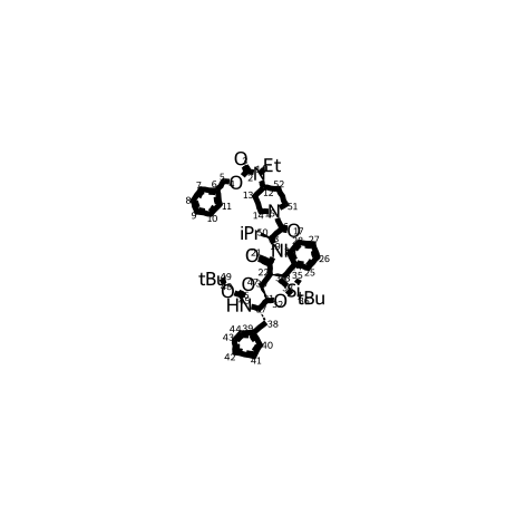 CCN(C(=O)OCc1ccccc1)C1CCN(C(=O)[C@@H](NC(=O)[C@@H](Cc2ccccc2)C[C@@H](O[Si](C)(C)C(C)(C)C)[C@H](Cc2ccccc2)NC(=O)OC(C)(C)C)C(C)C)CC1